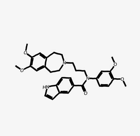 COc1ccc(N(CCCN2CCc3cc(OC)c(OC)cc3CC2)C(=O)c2ccc3[nH]ccc3c2)cc1OC